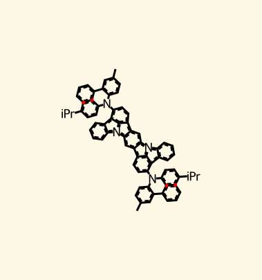 Cc1ccc(N(c2ccc(C(C)C)cc2)c2ccc3c4cc5c(cc4n4c6ccccc6c2c34)c2ccc(N(c3ccc(C(C)C)cc3)c3ccc(C)cc3-c3ccccc3)c3c4ccccc4n5c23)c(-c2ccccc2)c1